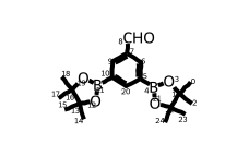 CC1(C)OB(c2cc(C=O)cc(B3OC(C)(C)C(C)(C)O3)c2)OC1(C)C